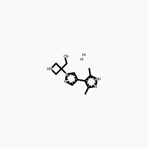 Cc1n[nH]c(C)c1-c1cnn(C2(CC#N)CNC2)c1.I.I